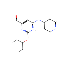 CCC(CC)Oc1nc(C=O)cc(NC2CCNCC2)n1